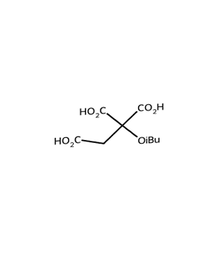 CC(C)COC(CC(=O)O)(C(=O)O)C(=O)O